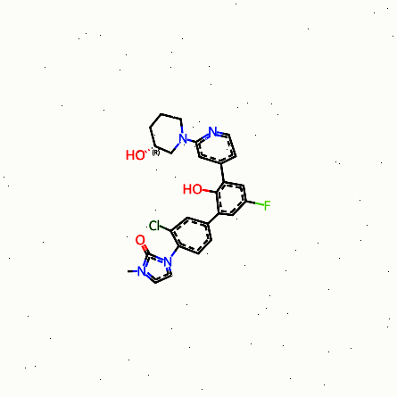 Cn1ccn(-c2ccc(-c3cc(F)cc(-c4ccnc(N5CCC[C@@H](O)C5)c4)c3O)cc2Cl)c1=O